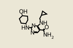 NC(=O)c1cnc(N[C@H]2CC[C@H](O)CC2)nc1NCC1CC1